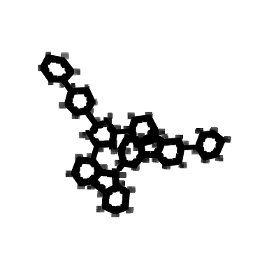 c1ccc(-c2ccc(-c3nc(-c4ccccc4)nc(-c4cccc5c6ccccc6n(-c6ccc7oc8cc(-c9ccccc9)ccc8c7c6)c45)n3)cc2)cc1